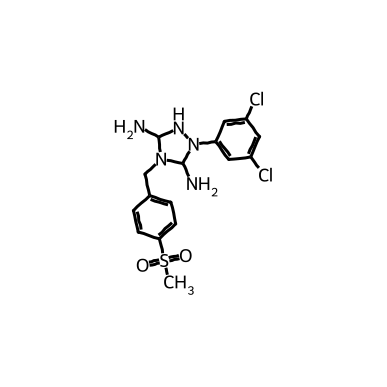 CS(=O)(=O)c1ccc(CN2C(N)NN(c3cc(Cl)cc(Cl)c3)C2N)cc1